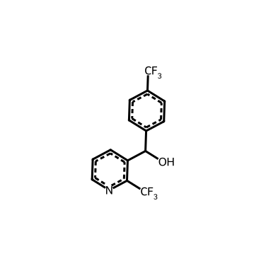 OC(c1ccc(C(F)(F)F)cc1)c1cccnc1C(F)(F)F